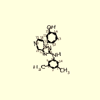 Cc1cc(C)cc(NC2=N[N+]3(c4cccc(O)c4)C=CN=CC3=N2)c1